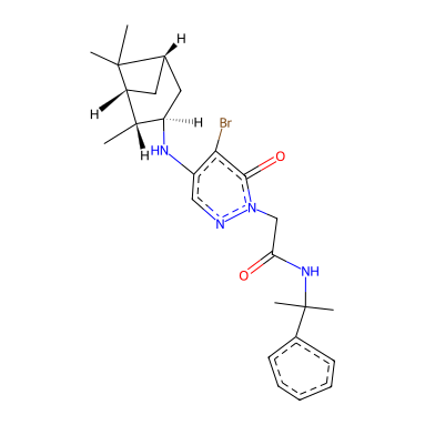 C[C@@H]1[C@H]2C[C@@H](C[C@H]1Nc1cnn(CC(=O)NC(C)(C)c3ccccc3)c(=O)c1Br)C2(C)C